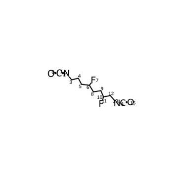 O=C=NCCCC(F)CCC(F)CN=C=O